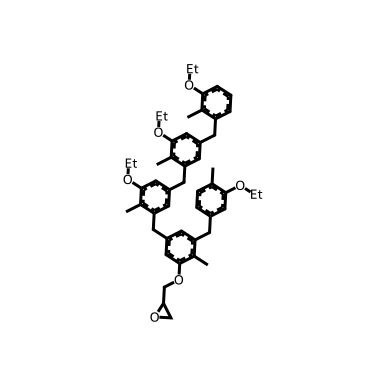 CCOc1cc(Cc2cc(Cc3cc(Cc4cc(Cc5cccc(OCC)c5C)cc(OCC)c4C)cc(OCC)c3C)cc(OCC3CO3)c2C)ccc1C